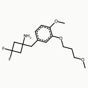 COCCCOc1cc(CC2(N)CC(F)(F)C2)ccc1OC